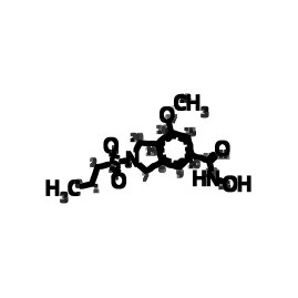 CCCS(=O)(=O)N1Cc2cc(C(=O)NO)cc(OC)c2C1